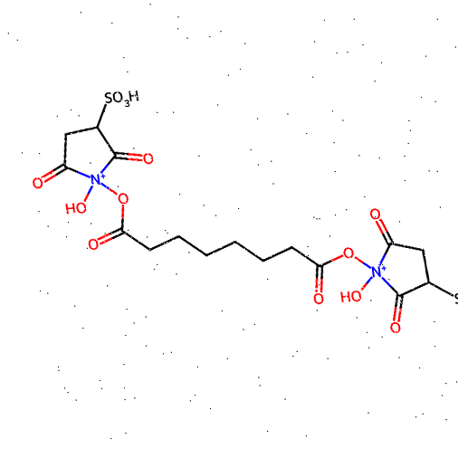 O=C(CCCCCCC(=O)O[N+]1(O)C(=O)CC(S(=O)(=O)O)C1=O)O[N+]1(O)C(=O)CC(S(=O)(=O)O)C1=O